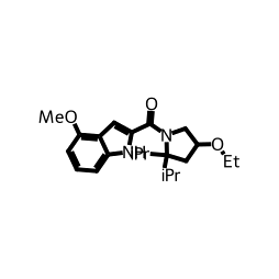 CCOC1CN(C(=O)c2cc3c(OC)cccc3[nH]2)C(C(C)C)(C(C)C)C1